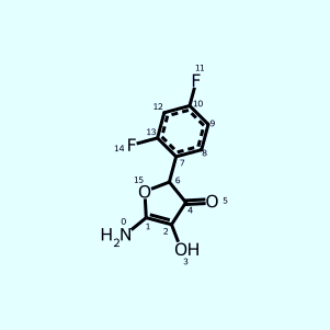 NC1=C(O)C(=O)C(c2ccc(F)cc2F)O1